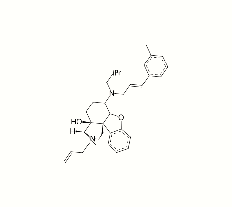 C=CCN1CC[C@]23c4c5cccc4OC2C(N(C/C=C/c2cccc(C)c2)CC(C)C)CC[C@@]3(O)[C@H]1C5